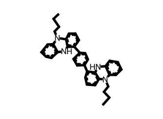 CCCCN1c2ccccc2Nc2c(-c3ccc(-c4cccc5c4Nc4ccccc4N5CCCC)cc3)cccc21